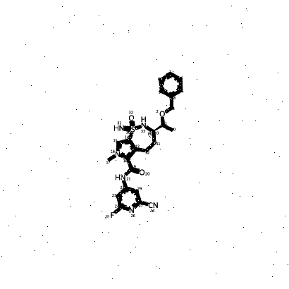 CC(OCc1ccccc1)[C@H]1CCc2c(cn(C)c2C(=O)Nc2cc(F)nc(C#N)c2)S(=N)(=O)N1